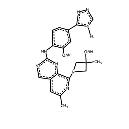 CCn1cnnc1-c1ccc(Nc2ncc3cc(C)nc(N4CC(C)(OC)C4)c3n2)c(OC)c1